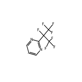 FC(F)(F)C(F)(c1nc[c]cn1)C(F)(F)F